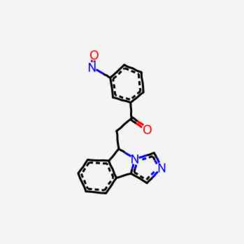 O=Nc1cccc(C(=O)CC2c3ccccc3-c3cncn32)c1